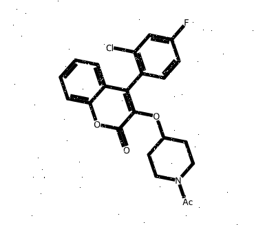 CC(=O)N1CCC(Oc2c(-c3ccc(F)cc3Cl)c3ccccc3oc2=O)CC1